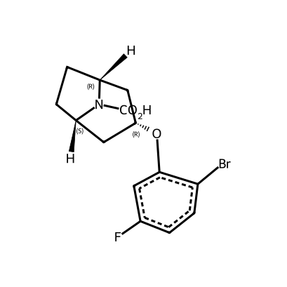 O=C(O)N1[C@@H]2CC[C@H]1C[C@@H](Oc1cc(F)ccc1Br)C2